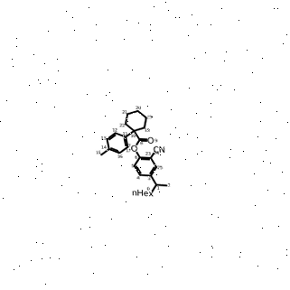 CCCCCCC(C)c1ccc(OC(=O)C2(c3ccc(C)cc3)CCCCC2)c(C#N)c1